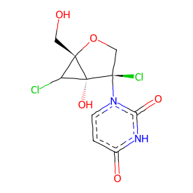 O=c1ccn([C@@]2(Cl)CO[C@@]3(CO)C(Cl)[C@@]32O)c(=O)[nH]1